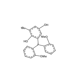 COc1ccccc1P(c1ccccc1OC)c1cc(O)cc(C(C)(C)C)c1O